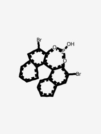 Op1oc2c(Br)cc3ccccc3c2c2c(o1)c(Br)cc1ccccc12